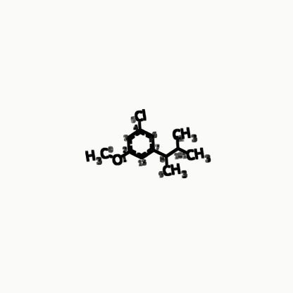 COc1cc(Cl)cc(C(C)C(C)C)c1